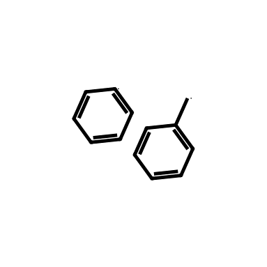 [CH2]c1ccccc1.[c]1ccccc1